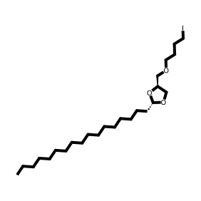 CCCCCCCCCCCCCCCCC[C@H]1OC[C@H](COCCCCI)O1